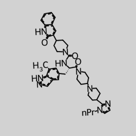 CCCn1ccnc1C1CCN(C2CCN(C(=O)[C@H](Cc3cc(C)c4[nH]ncc4c3)NC(=O)N3CCC(c4cc5ccccc5[nH]c4=O)CC3)CC2)CC1